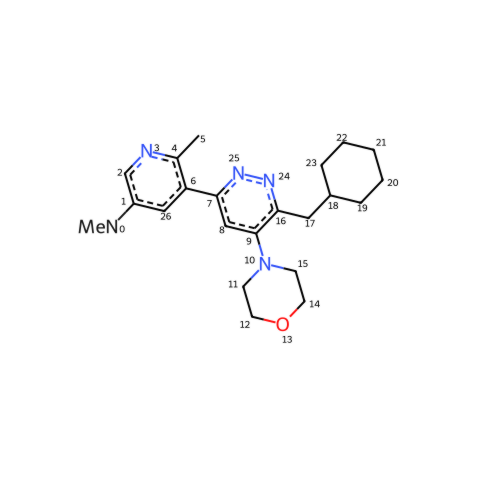 CNc1cnc(C)c(-c2cc(N3CCOCC3)c(CC3CCCCC3)nn2)c1